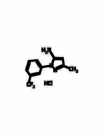 Cc1cc(N)n(-c2cccc(C(F)(F)F)c2)n1.Cl